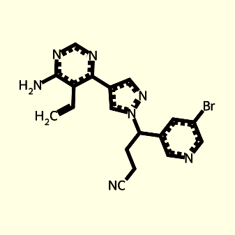 C=Cc1c(N)ncnc1-c1cnn(C(CCC#N)c2cncc(Br)c2)c1